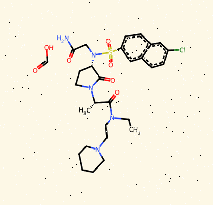 CCN(CCN1CCCCC1)C(=O)[C@H](C)N1CC[C@H](N(CC(N)=O)S(=O)(=O)c2ccc3cc(Cl)ccc3c2)C1=O.O=CO